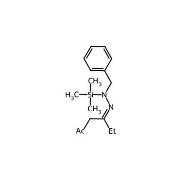 CCC(CC(C)=O)=NN(Cc1ccccc1)[Si](C)(C)C